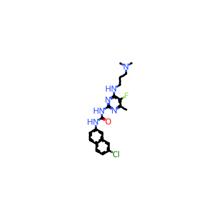 Cc1nc(NC(=O)Nc2ccc3ccc(Cl)cc3c2)nc(NCCCN(C)C)c1F